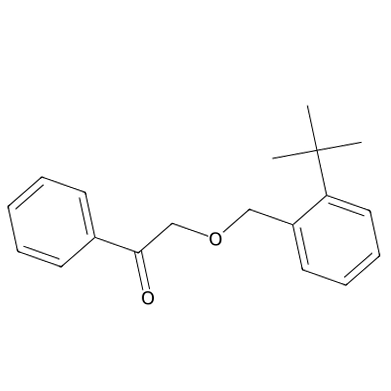 CC(C)(C)c1ccccc1COCC(=O)c1ccccc1